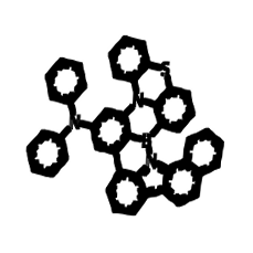 c1ccc(N(c2ccccc2)c2cc3c4c(c2)N2c5ccccc5Sc5cccc(c52)B4n2c4c-3cccc4c3ccc4ccccc4c32)cc1